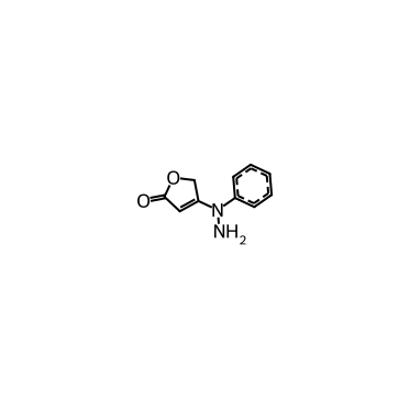 NN(C1=CC(=O)OC1)c1ccccc1